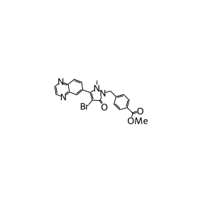 COC(=O)c1ccc(Cn2c(=O)c(Br)c(-c3ccc4nccnc4c3)n2C)cc1